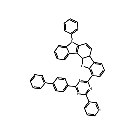 C1=CC2c3cccc(-c4nc(-c5ccc(-c6ccccc6)cc5)nc(-c5cccnc5)n4)c3OC2c2c1n(-c1ccccc1)c1ccccc21